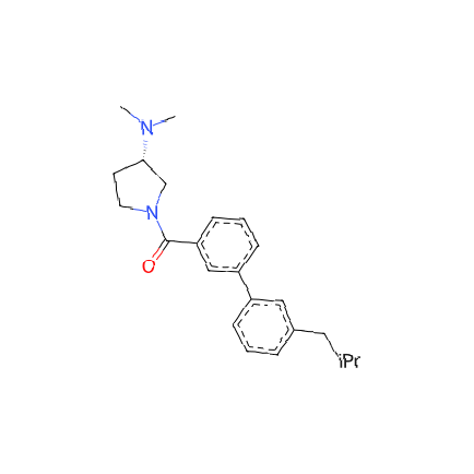 CC(C)Cc1cccc(-c2cccc(C(=O)N3CC[C@H](N(C)C)C3)c2)c1